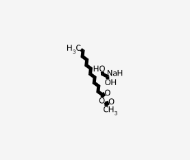 CCCCCCCCCCCC(=O)OC(C)=O.OCCO.[NaH]